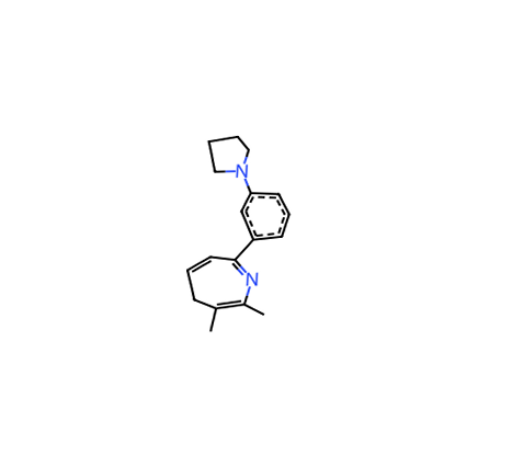 CC1=C(C)N=C(c2cccc(N3CCCC3)c2)C=CC1